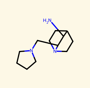 NC1C2CCN(CC2)C1CN1CCCC1